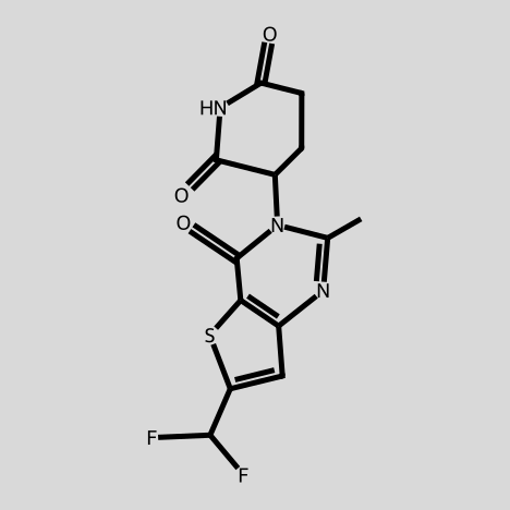 Cc1nc2cc(C(F)F)sc2c(=O)n1C1CCC(=O)NC1=O